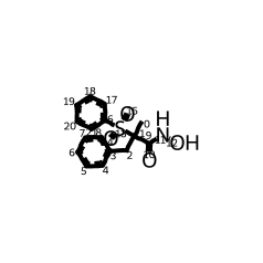 CC(Cc1ccccc1)(C(=O)NO)S(=O)(=O)c1ccccc1